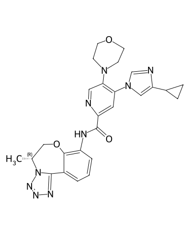 C[C@@H]1COc2c(NC(=O)c3cc(-n4cnc(C5CC5)c4)c(N4CCOCC4)cn3)cccc2-c2nnnn21